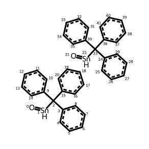 [O]=[SnH][C](c1ccccc1)(c1ccccc1)c1ccccc1.[O]=[SnH][C](c1ccccc1)(c1ccccc1)c1ccccc1